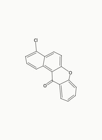 O=c1c2ccccc2oc2ccc3c(Cl)cccc3c12